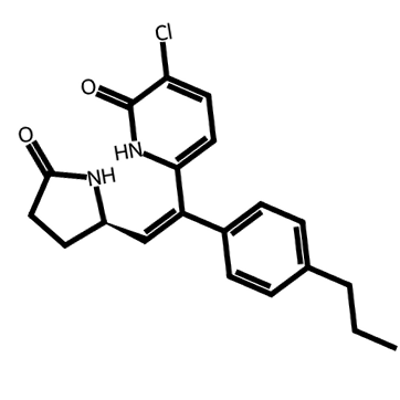 CCCc1ccc(/C(=C/[C@H]2CCC(=O)N2)c2ccc(Cl)c(=O)[nH]2)cc1